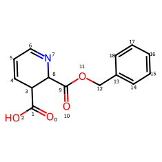 O=C(O)C1C=CC=NC1C(=O)OCc1ccccc1